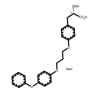 CO[C@@H](Cc1ccc(OCCCOc2ccc(Oc3ccccc3)cc2)cc1)C(=O)O.[NaH]